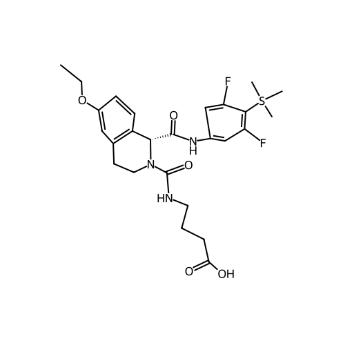 CCOc1ccc2c(c1)CCN(C(=O)NCCCC(=O)O)[C@H]2C(=O)Nc1cc(F)c(S(C)(C)C)c(F)c1